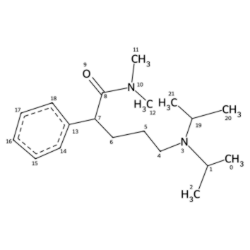 CC(C)N(CCCC(C(=O)N(C)C)c1ccccc1)C(C)C